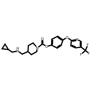 O=C(Oc1ccc(Oc2ccc(C(F)(F)F)cn2)cc1)N1CCC(CNCC2CC2)CC1